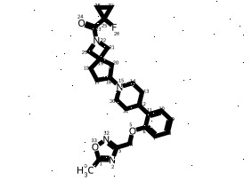 Cc1nc(COc2ccccc2C2CCN(C3CCC4(C3)CN(C(=O)C3(F)CC3)C4)CC2)no1